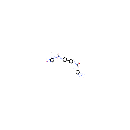 CC(=O)C(N=Nc1ccc(-c2ccc(N=NC(C(C)=O)C(=O)Nc3ccc4[nH]c(=O)[nH]c4c3)c(Cl)c2)cc1Cl)C(=O)Nc1ccc2[nH]c(=O)[nH]c2c1